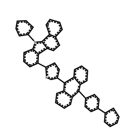 c1ccc(-c2ccc(-c3c4ccccc4c(-c4ccc(-c5cccc6c5c5ccc7ccccc7c5n6-c5ccccc5)nc4)c4ccccc34)cc2)cc1